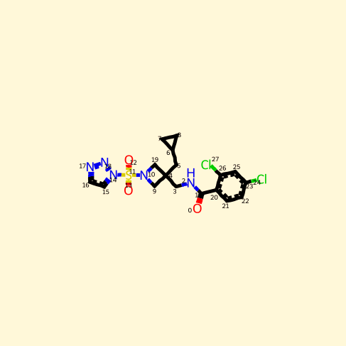 O=C(NCC1(CC2CC2)CN(S(=O)(=O)n2ccnn2)C1)c1ccc(Cl)cc1Cl